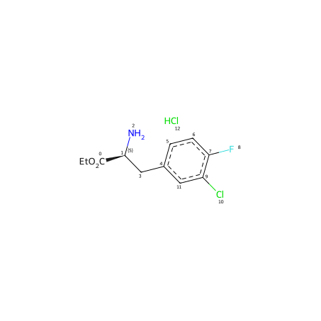 CCOC(=O)[C@@H](N)Cc1ccc(F)c(Cl)c1.Cl